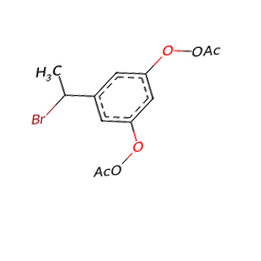 CC(=O)OOc1cc(OOC(C)=O)cc(C(C)Br)c1